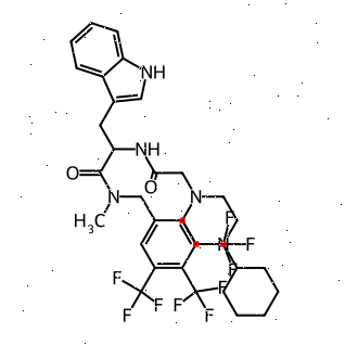 CN(Cc1cc(C(F)(F)F)c(C(F)(F)F)c(C(F)(F)F)c1)C(=O)C(Cc1c[nH]c2ccccc12)NC(=O)CN1CCN(C2CCCCC2)CC1